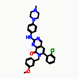 COc1cccc(Cn2c(-c3ccccc3Cl)cc3cnc(Nc4ccc(N5CCN(C)CC5)cc4)nc3c2=O)c1